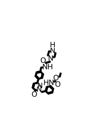 CCOC(=O)Nc1cccc(Cn2nc(-c3ccc(CNC(=O)CN4CCNCC4)cc3)ccc2=O)c1